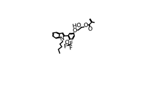 C=C(C)C(=O)OCC(O)COc1ccc(OC(F)(F)F)c(-c2cc3ccccc3n2CCCCC)c1